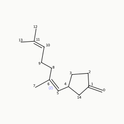 C=C1CCC(/C=C(/C)CCC=C(C)C)C1